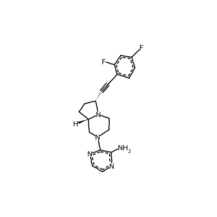 Nc1nccnc1N1CCN2[C@@H](CC[C@@H]2C#Cc2ccc(F)cc2F)C1